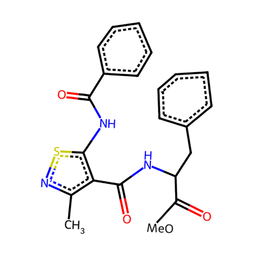 COC(=O)C(Cc1ccccc1)NC(=O)c1c(C)nsc1NC(=O)c1ccccc1